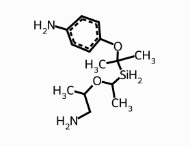 CC(CN)OC(C)[SiH2]C(C)(C)Oc1ccc(N)cc1